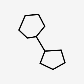 C1CCC(C2CCCC2)CC1